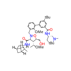 COc1c(CN2O[C@@H](CO)[C@H]([C@H](C)OC)[C@H]2C(=O)N[C@H]2C[C@H]3C[C@@H]([C@@H]2C)C3(C)C)cccc1-c1cc(C(=O)N[C@H](CN(C)C)CC(C)(C)C)cc(C(C)(C)C)c1